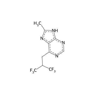 Cc1nc2c(CC(C(F)(F)F)C(F)(F)F)ncnc2[nH]1